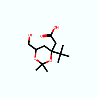 CC1(C)OC(CO)CC(CC(=O)O)(C(C)(C)C)O1